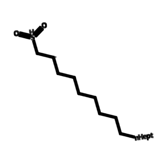 CCCCCCCCCCCCCC[CH]C[SH](=O)=O